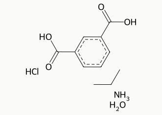 CCC.Cl.N.O.O=C(O)c1cccc(C(=O)O)c1